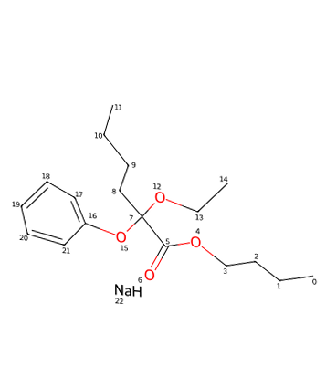 CCCCOC(=O)C(CCCC)(OCC)Oc1ccccc1.[NaH]